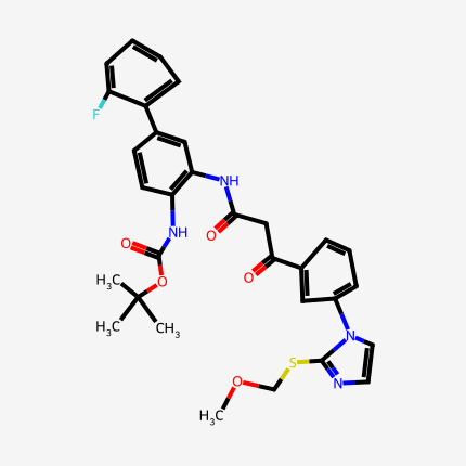 COCSc1nccn1-c1cccc(C(=O)CC(=O)Nc2cc(-c3ccccc3F)ccc2NC(=O)OC(C)(C)C)c1